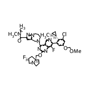 COCOc1cc(Cl)c([C@H]2C[C@H]2C)c(-c2ncc3c(N4CCCn5nc(C(=O)N(C)C)cc5C4)nc(OC[C@@]45CCCN4C[C@H](F)C5)nc3c2F)c1